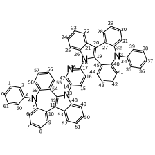 c1ccc(N2c3ccccc3-c3c(n(-c4ccc(-n5c6c(c7ccccc75)-c5ccccc5N(c5ccccc5)c5ccccc5-6)nc4)c4ccccc34)-c3ccccc32)cc1